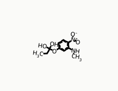 CCC(O)(O)Oc1ccc([N+](=O)[O-])c(NC)c1